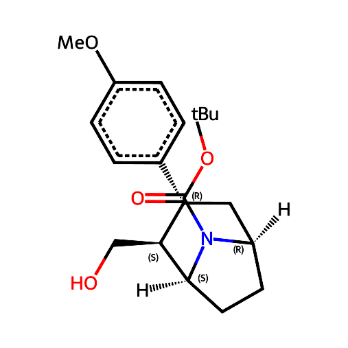 COc1ccc([C@@H]2C[C@H]3CC[C@@H]([C@H]2CO)N3C(=O)OC(C)(C)C)cc1